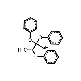 CC(Oc1ccccc1)C([SiH3])(Oc1ccccc1)Oc1ccccc1